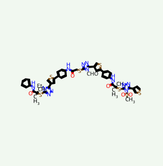 CCn1c(SC(C)(C)C(=O)Nc2ccccc2)nnc1-c1csc(-c2ccc(NC(=O)CSc3nnc(-c4csc(-c5ccc(NC(=O)C(C)(C)Sc6nnc(-c7ccsc7)n6S(C)(=O)=O)cc5)c4)n3C=O)cc2)c1